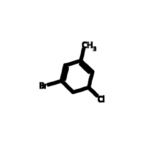 CC1=CC(Cl)CC(Br)=C1